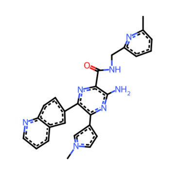 Cc1cccc(CNC(=O)c2nc(-c3ccc4ncccc4c3)c(-c3ccn(C)c3)nc2N)n1